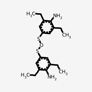 CCc1cc(SOSc2cc(CC)c(N)c(CC)c2)cc(CC)c1N